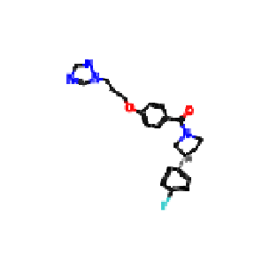 O=C(c1ccc(OC[CH]Cn2cncn2)cc1)N1CC[C@H](c2ccc(F)cc2)C1